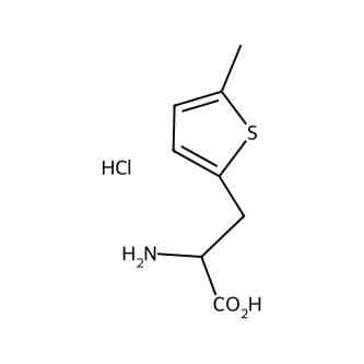 Cc1ccc(CC(N)C(=O)O)s1.Cl